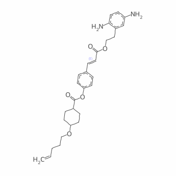 C=CCCCOC1CCC(C(=O)Oc2ccc(/C=C/C(=O)OCCc3cc(N)ccc3N)cc2)CC1